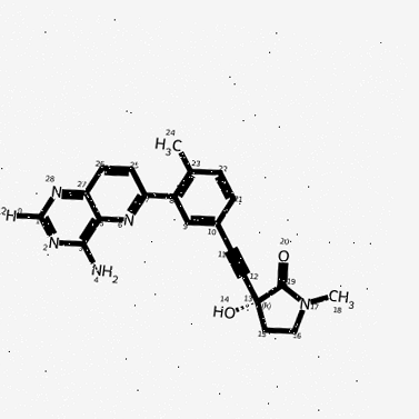 [2H]c1nc(N)c2nc(-c3cc(C#C[C@]4(O)CCN(C)C4=O)ccc3C)ccc2n1